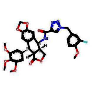 COc1ccc(Cn2cc(C(=O)N[C@@H]3c4cc5c(cc4[C@@H](c4cc(OC)c(OC)c(OC)c4)[C@H]4C(=O)OC[C@@H]43)OCO5)nn2)cc1F